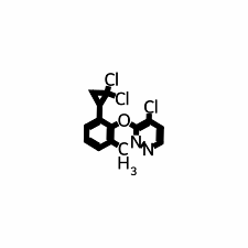 Cc1cccc(C2CC2(Cl)Cl)c1Oc1nnccc1Cl